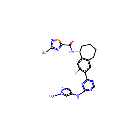 Cn1cc(Nc2ncnc(-c3cc4c(cc3F)[C@H](NC(=O)c3nc(C(C)(C)C)no3)CCCC4)n2)cn1